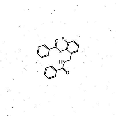 O=C(NCc1cccc(F)c1SC(=O)c1ccccc1)c1ccccc1